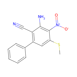 CSc1cc(-c2ccccc2)c(C#N)c(N)c1[N+](=O)[O-]